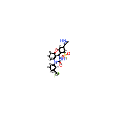 CS(=O)(=O)c1cc(C2CN2)ccc1C1NC(=O)N(c2cccc(C(F)F)c2)C2=C1C(=O)CCC2